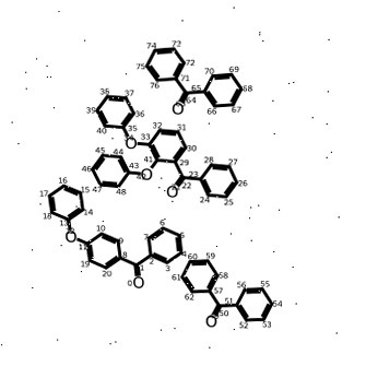 O=C(c1ccccc1)c1ccc(Oc2ccccc2)cc1.O=C(c1ccccc1)c1cccc(Oc2ccccc2)c1Oc1ccccc1.O=C(c1ccccc1)c1ccccc1.O=C(c1ccccc1)c1ccccc1